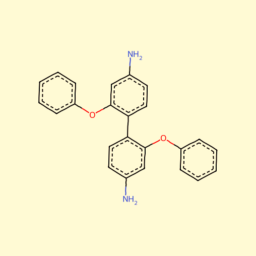 Nc1ccc(-c2ccc(N)cc2Oc2ccccc2)c(Oc2ccccc2)c1